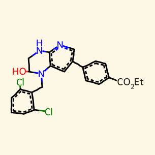 CCOC(=O)c1ccc(-c2cnc3c(c2)N(Cc2c(Cl)cccc2Cl)C(O)CN3)cc1